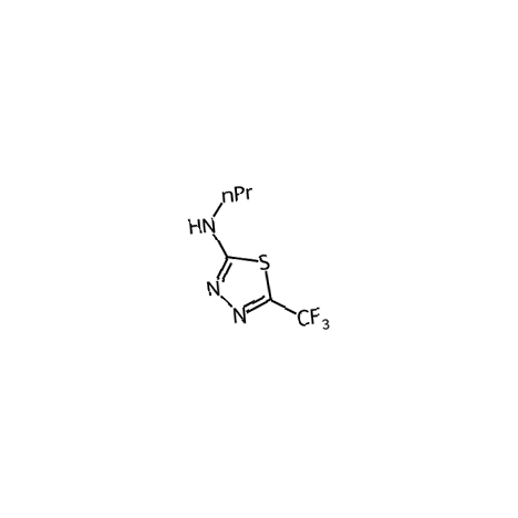 CCCNc1nnc(C(F)(F)F)s1